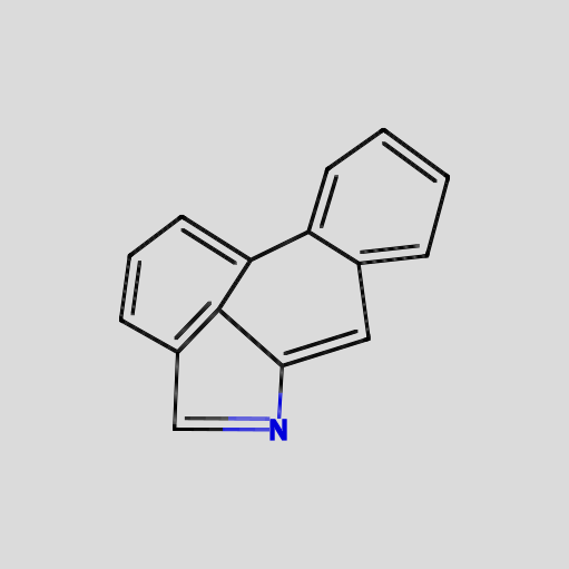 C1=Nc2cc3ccccc3c3cccc1c23